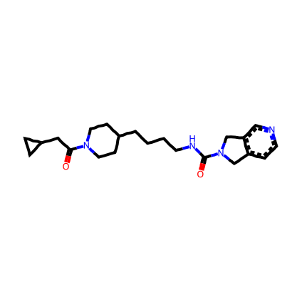 O=C(CC1CC1)N1CCC(CCCCNC(=O)N2Cc3ccncc3C2)CC1